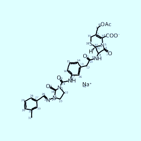 CC(=O)OCC1=C(C(=O)[O-])N2C(=O)C(NC(=O)Cc3cccc(NC(=O)N4CCN(N=Cc5cccc(C)c5)C4=O)c3)[C@@H]2SC1.[Na+]